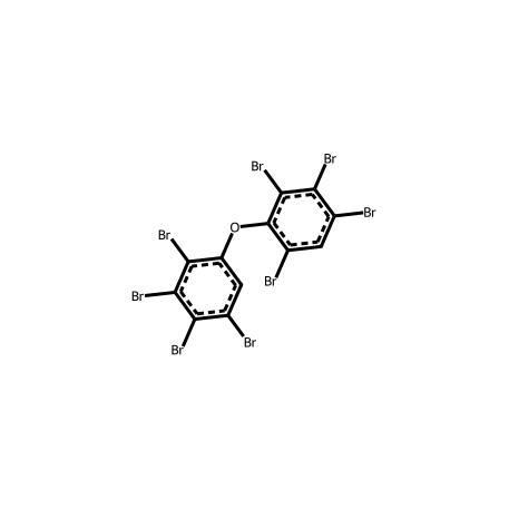 Brc1cc(Oc2c(Br)cc(Br)c(Br)c2Br)c(Br)c(Br)c1Br